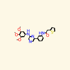 COc1cc(Nc2cncc(-c3cccc(NC(=O)Cc4cccs4)c3)n2)cc(OC)c1OC